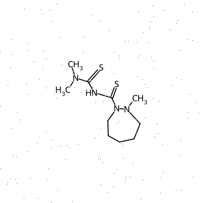 CN(C)C(=S)NC(=S)N1CCCCCN1C